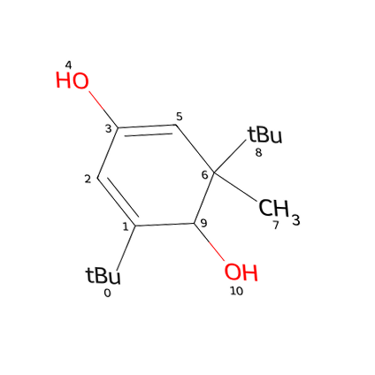 CC(C)(C)C1=CC(O)=CC(C)(C(C)(C)C)C1O